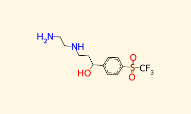 NCCNCCC(O)c1ccc(S(=O)(=O)C(F)(F)F)cc1